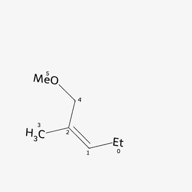 CC/C=C(/C)COC